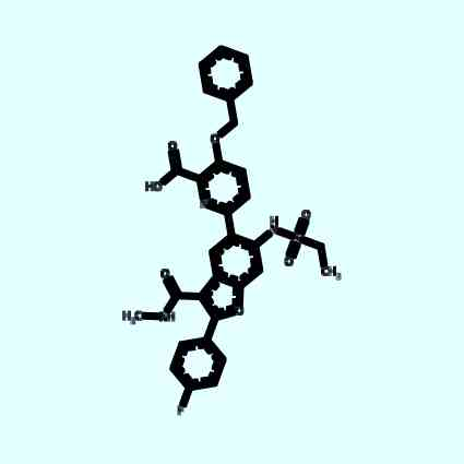 CCS(=O)(=O)Nc1cc2oc(-c3ccc(F)cc3)c(C(=O)NC)c2cc1-c1ccc(OCc2ccccc2)c(C(=O)O)n1